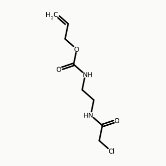 C=CCOC(=O)NCCNC(=O)CCl